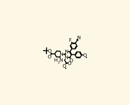 COC(=O)Cn1c(N2CCC(C(=O)OC(C)(C)C)CC2N)nc(-c2ccc(C#N)c(F)c2)c(-c2ccc(OC)cc2)c1=O